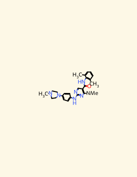 CNc1nc(Nc2ccc(N3CCN(C)CC3)cc2)ncc1C(=O)Nc1c(C)cccc1C